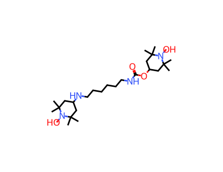 CC1(C)CC(NCCCCCCNC(=O)OC2CC(C)(C)N(O)C(C)(C)C2)CC(C)(C)N1O